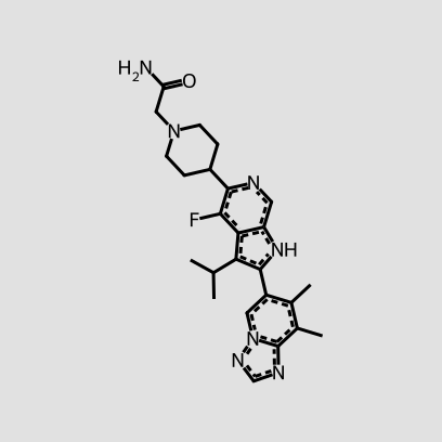 Cc1c(-c2[nH]c3cnc(C4CCN(CC(N)=O)CC4)c(F)c3c2C(C)C)cn2ncnc2c1C